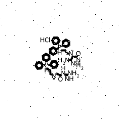 CN(CCC[PH](c1ccccc1)(c1ccccc1)c1ccccc1)C(C(=N)N)C(N)=O.C[N+](=CC(=O)NC(=N)N)CCC[PH](c1ccccc1)(c1ccccc1)c1ccccc1.Cl